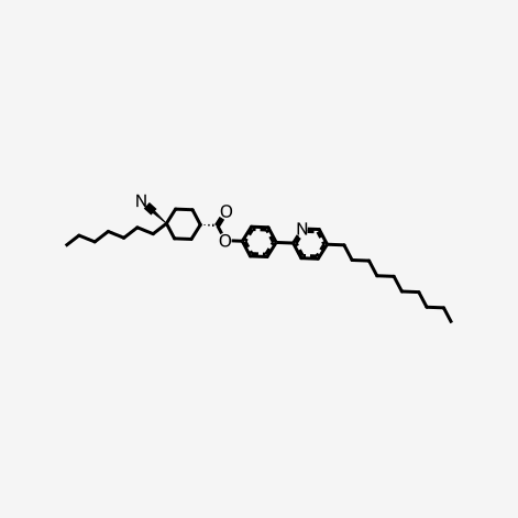 CCCCCCCCCCc1ccc(-c2ccc(OC(=O)[C@H]3CC[C@@](C#N)(CCCCCCC)CC3)cc2)nc1